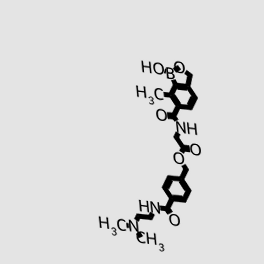 Cc1c(C(=O)NCC(=O)OCc2ccc(C(=O)NCCN(C)C)cc2)ccc2c1B(O)OC2